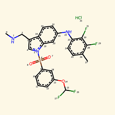 CNCc1cn(S(=O)(=O)c2cccc(OC(F)F)c2)c2cc(Nc3ccc(C)c(F)c3F)ccc12.Cl